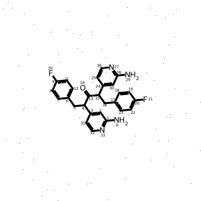 Nc1cc(C(Cc2ccc(F)cc2)C(=O)C(Cc2ccc(F)cc2)c2ccnc(N)c2)ccn1